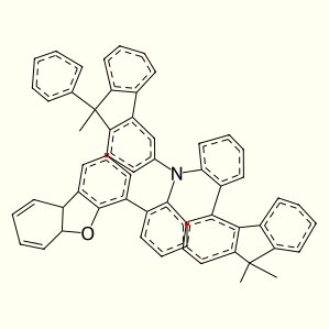 CC1(C)c2ccccc2-c2c(-c3ccccc3N(c3ccc4c(c3)-c3ccccc3C4(C)c3ccccc3)c3ccccc3-c3cccc4c3OC3C=CC=CC43)cccc21